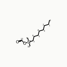 CCCCCCCC[Si](C)(C)OC=O